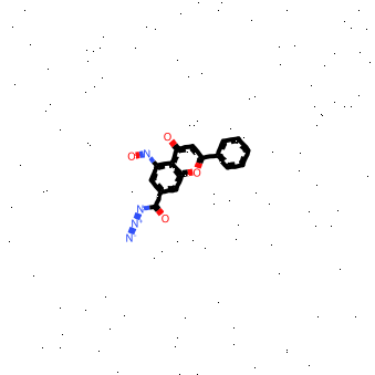 [N-]=[N+]=NC(=O)c1cc(N=O)c2c(=O)cc(-c3ccccc3)oc2c1